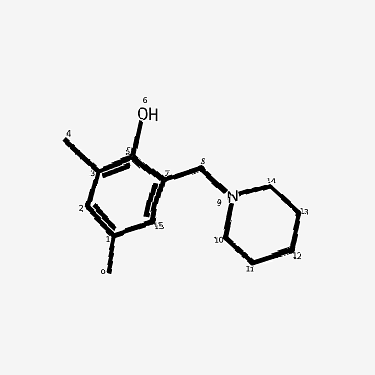 Cc1cc(C)c(O)c(CN2CCCCC2)c1